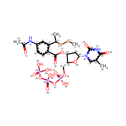 CSSC(C)c1cc(NC(C)=O)ccc1C(=O)O[C@@H]1C[C@H](n2cc(C)c(=O)[nH]c2=O)O[C@@H]1COP(=O)(O)OP(=O)(O)OP(=O)(O)O